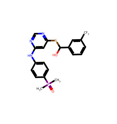 CP(C)(=O)c1ccc(Nc2cc(SC(O)c3cccc(C(F)(F)F)c3)ncn2)cc1